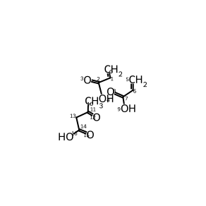 C=CC(=O)O.C=CC(=O)O.CC(=O)CC(=O)O